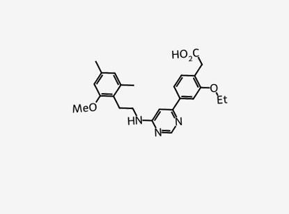 CCOc1cc(-c2cc(NCCc3c(C)cc(C)cc3OC)ncn2)ccc1CC(=O)O